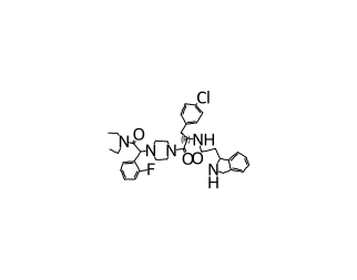 CCN(CC)C(=O)C(c1ccccc1F)N1CCN(C(=O)[C@@H](Cc2ccc(Cl)cc2)NC(=O)CC2NCc3ccccc32)CC1